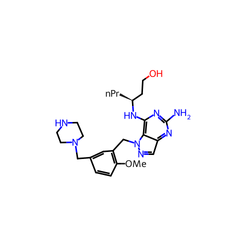 CCC[C@@H](CCO)Nc1nc(N)nc2cnn(Cc3cc(CN4CCNCC4)ccc3OC)c12